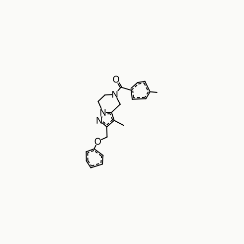 Cc1ccc(C(=O)N2CCn3nc(COc4ccccc4)c(C)c3C2)cc1